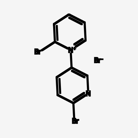 Brc1ccc(-[n+]2ccccc2Br)cn1.[Br-]